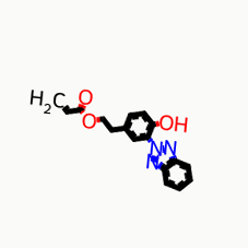 C=CC(=O)OCCc1ccc(O)c(-n2nc3ccccc3n2)c1